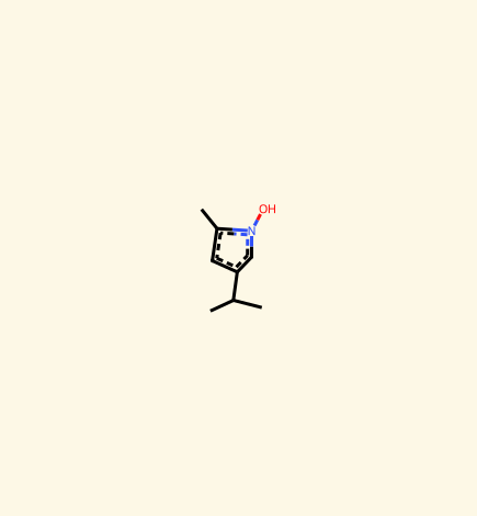 Cc1cc(C(C)C)cn1O